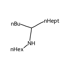 CCCCCCCC(CCCC)NCCCCCC